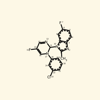 Cc1nc2ccc(F)cc2n1C1N=CC(F)=CN1c1cccc(Cl)c1